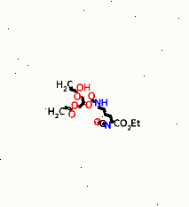 C=CC(=O)OCC(COC(O)C=C)OC(=O)NCCCCC(N=C=O)C(=O)OCC